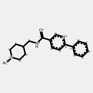 CC(=O)N1CCC(CNC(=O)c2ccc(-c3ccccc3)nc2)CC1